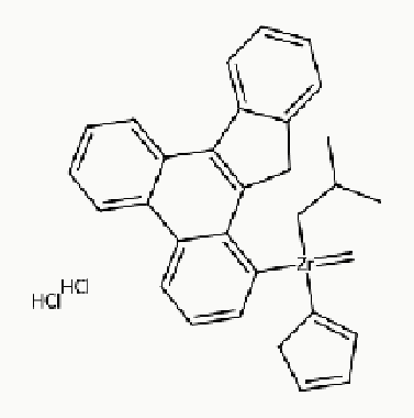 Cl.Cl.[CH2]=[Zr]([CH2]C(C)C)([C]1=CC=CC1)[c]1cccc2c1c1c(c3ccccc32)-c2ccccc2C1